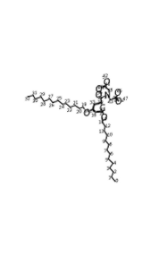 CCCCCCCCCCCCCCOc1cc(OCCCCCCCCCCCCCC)cc(C(=O)N(CC(=O)OC)CC(=O)OC)c1